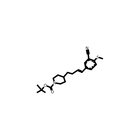 CSc1ccc(C=CCCC2CCN(C(=O)OC(C)(C)C)CC2)cc1C#N